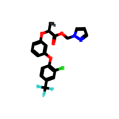 CC(Oc1cccc(Oc2ccc(C(F)(F)F)cc2Cl)c1)C(=O)OCn1cccn1